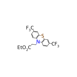 CCOC(=O)CCN1c2ccc(C(F)(F)F)cc2Sc2cc(C(F)(F)F)ccc21